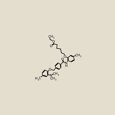 CCOC(=O)CCCCCOc1cc(C)ccc1NC(=O)c1ccc(COc2ccc(C)cc2N(C)C)cc1